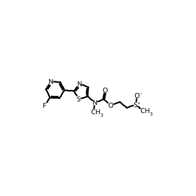 CN(C(=O)OCC[S+](C)[O-])c1cnc(-c2cncc(F)c2)s1